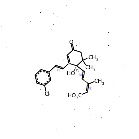 CC(=C/C(=O)O)/C=C/[C@@]1(O)C(/C=C/c2cccc(Cl)c2)=CC(=O)CC1(C)C